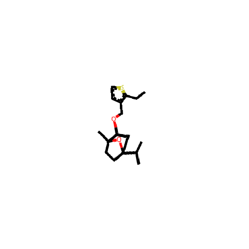 CCc1sccc1COC1CC2(C(C)C)CCC1(C)O2